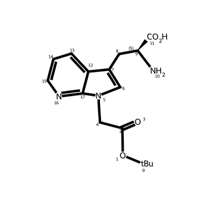 CC(C)(C)OC(=O)Cn1cc(C[C@H](N)C(=O)O)c2cccnc21